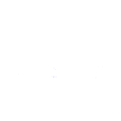 CCOC(=O)C1c2cc(Br)ccc2NN1COCC[Si](C)(C)C